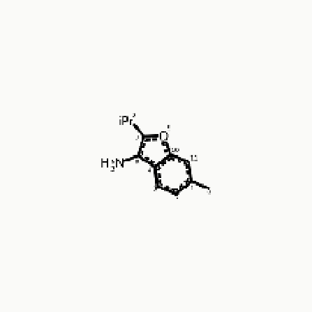 Cc1ccc2c(N)c(C(C)C)oc2c1